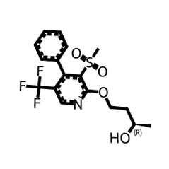 C[C@@H](O)CCOc1ncc(C(F)(F)F)c(-c2ccccc2)c1S(C)(=O)=O